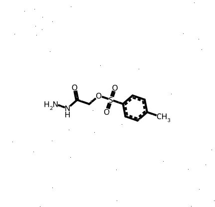 Cc1ccc(S(=O)(=O)OCC(=O)NN)cc1